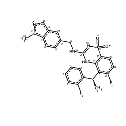 C[C@@H](c1ccccc1F)c1c(F)ccc2c1NC(NCc1ccc3c(cnn3C)c1)=NS2(=O)=O